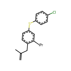 C=C(C)Cc1ccc(Sc2ccc(Cl)cc2)cc1C(C)C